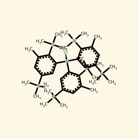 Cc1cc([Si](C)(C)C)cc([Si](Cl)(c2cc([Si](C)(C)C)cc(C)c2[Si](C)(C)C)c2cc([Si](C)(C)C)cc(C)c2[Si](C)(C)C)c1[Si](C)(C)C